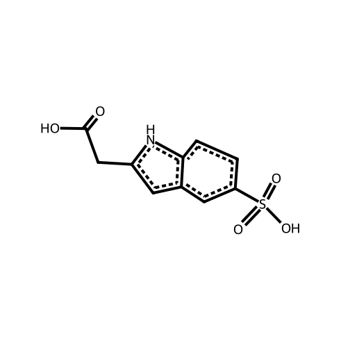 O=C(O)Cc1cc2cc(S(=O)(=O)O)ccc2[nH]1